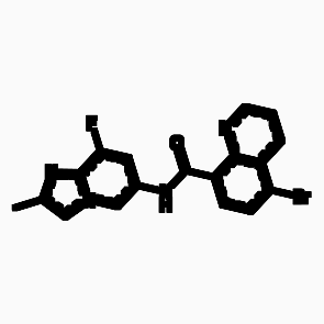 Cc1cn2cc(NC(=O)c3ccc(Br)c4cccnc34)cc(F)c2n1